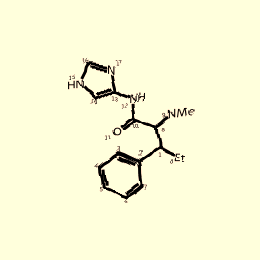 CCC(c1ccccc1)C(NC)C(=O)Nc1c[nH]cn1